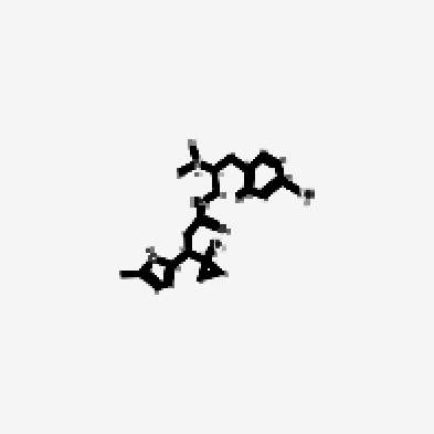 Cc1ccc(C(CC(=O)NCC(Cc2ccc(O)cc2C)N(C)C)C2(C(F)(F)F)CC2)o1